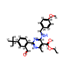 CCOC(=O)c1c(C)nc(-c2ccc(C(C)(C)C)cc2C=O)nc1NCc1ccc(OC)cc1